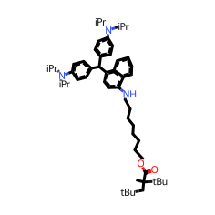 CC(C)N(c1ccc(C(c2ccc(N(C(C)C)C(C)C)cc2)c2ccc(NCCCCCCCCOC(=O)C(C)(CC(C)(C)C)C(C)(C)C)c3ccccc23)cc1)C(C)C